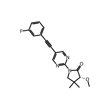 CO[C@H]1C(=O)N(c2ncc(C#Cc3cccc(F)c3)cn2)CC1(C)C